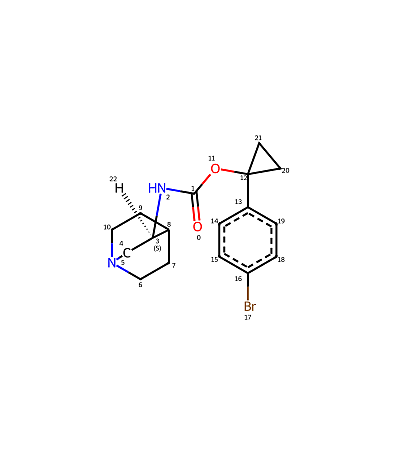 O=C(N[C@@H]1CN2CCC1CC2)OC1(c2ccc(Br)cc2)CC1